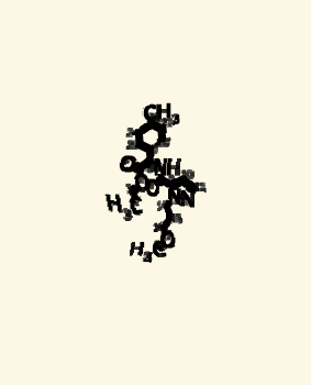 CCOC(=O)[C@@H](NC(=O)c1ccnn1CCCOC)[C@H]1CC[C@H](C)CC1